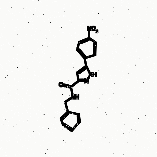 O=C(NCc1ccccc1)c1cc(-c2ccc([N+](=O)[O-])cc2)[nH]n1